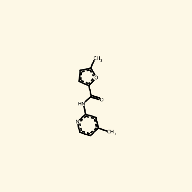 Cc1ccnc(NC(=O)c2ccc(C)o2)c1